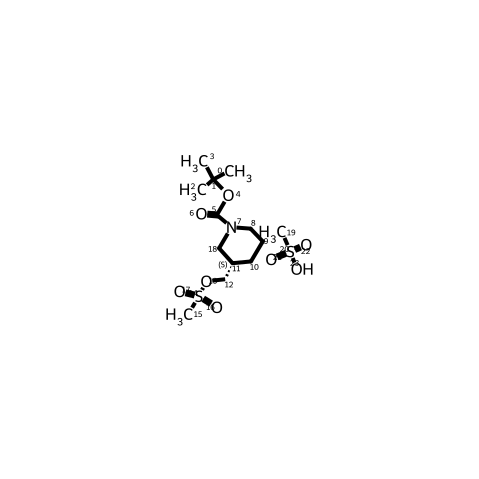 CC(C)(C)OC(=O)N1CCC[C@H](COS(C)(=O)=O)C1.CS(=O)(=O)O